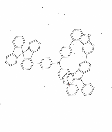 c1ccc(-c2ccc(N(c3ccc(-c4cccc5c4-c4ccccc4C54c5ccccc5-c5ccccc54)cc3)c3ccc(-c4cccc5oc6ccc(-c7ccc8c(c7)c7ccccc7n8-c7ccccc7)cc6c45)cc3)cc2)cc1